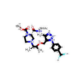 CC(=O)NNC(=O)[C@@H]1CN([C@H](C)C(C)OCc2c(C)nnn2-c2ccc(C(F)F)cc2)CCN1C(=O)OC(C)(C)C